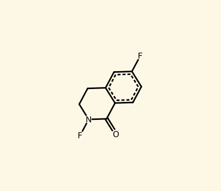 O=C1c2ccc(F)cc2CCN1F